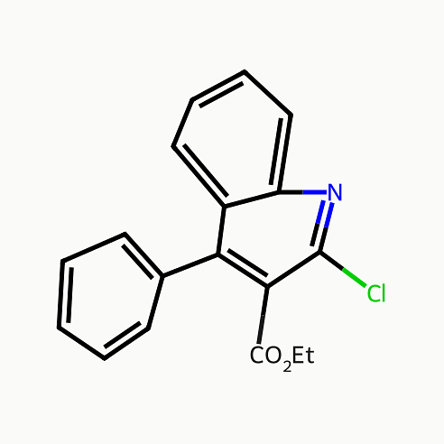 CCOC(=O)c1c(Cl)nc2ccccc2c1-c1ccccc1